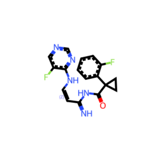 N=C(/C=C\Nc1ncncc1F)NC(=O)C1(c2ccccc2F)CC1